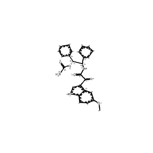 COc1ccc2[nH]cc(C(=O)C(=O)N[C@H](c3ccccc3)[C@H](OC(N)=O)c3ccccc3)c2c1